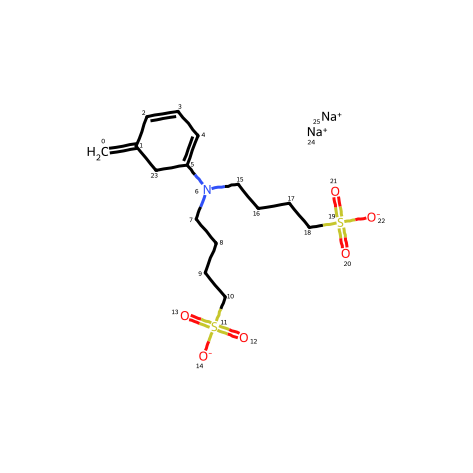 C=C1C=CC=C(N(CCCCS(=O)(=O)[O-])CCCCS(=O)(=O)[O-])C1.[Na+].[Na+]